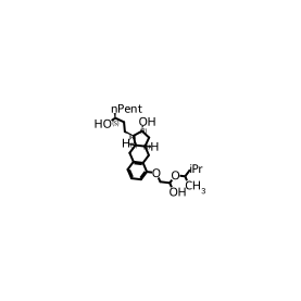 CCCCC[C@H](O)CC[C@@H]1[C@H]2Cc3cccc(OCC(O)OC(C)C(C)C)c3C[C@H]2C[C@H]1O